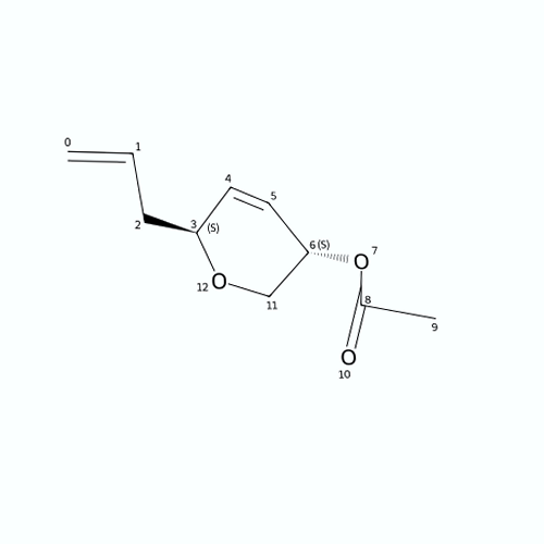 C=CC[C@H]1C=C[C@H](OC(C)=O)CO1